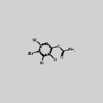 CC(C)(C)c1c(C#N)cc(OC(N)=O)c(Cl)c1Br